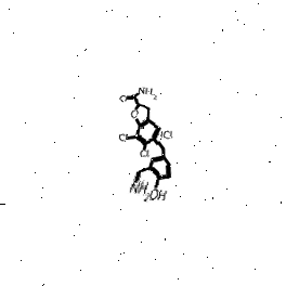 Cl.NCc1cc(Cc2cc3c(c(Cl)c2Cl)OC(C(N)=O)C3)ccc1O